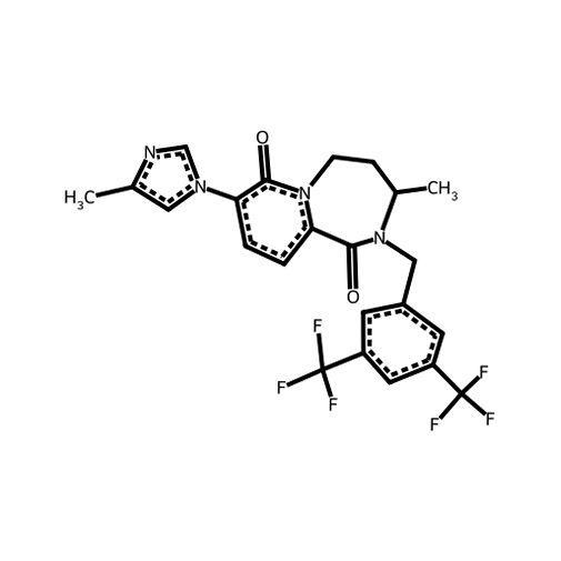 Cc1cn(-c2ccc3n(c2=O)CCC(C)N(Cc2cc(C(F)(F)F)cc(C(F)(F)F)c2)C3=O)cn1